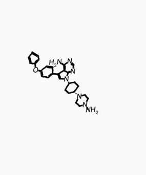 Nc1ncnc2c1c(-c1ccc(Oc3ccccc3)cc1)cn2[C@H]1CC[C@@H](N2CCN(N)CC2)CC1